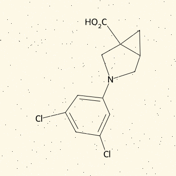 O=C(O)C12CC1CN(c1cc(Cl)cc(Cl)c1)C2